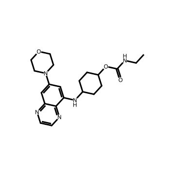 CCNC(=O)OC1CCC(Nc2cc(N3CCOCC3)cc3nccnc23)CC1